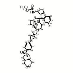 COC(=O)N[C@H]1CCC[C@@H]1C(CN1CCC1)(c1cccc(F)c1)C1CCN(CC2(F)CN(c3ccc(S(=O)(=O)CC4CCOCC4)cc3)C2)CC1